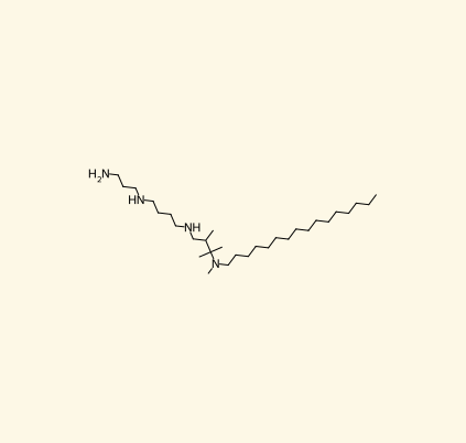 CCCCCCCCCCCCCCCCN(C)C(C)(C)C(C)CNCCCCNCCCN